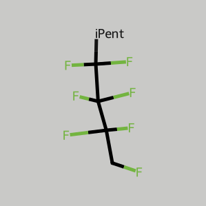 CC[CH]C(C)C(F)(F)C(F)(F)C(F)(F)CF